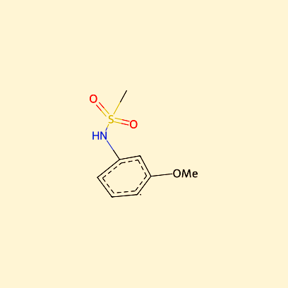 COc1[c]ccc(NS(C)(=O)=O)c1